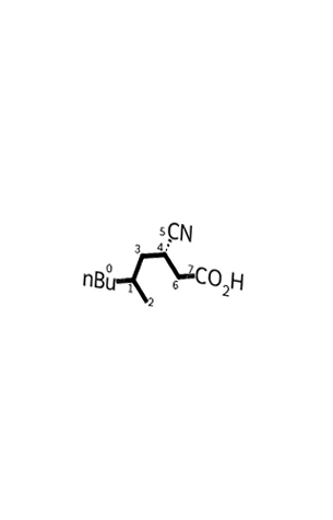 CCCCC(C)C[C@H](C#N)CC(=O)O